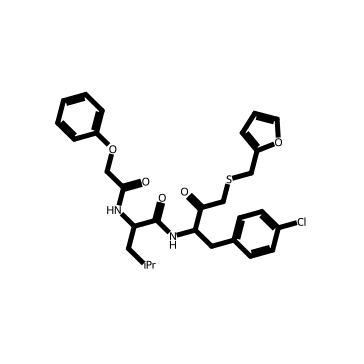 CC(C)CC(NC(=O)COc1ccccc1)C(=O)NC(Cc1ccc(Cl)cc1)C(=O)CSCc1ccco1